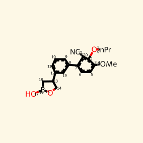 CCCOc1c(OC)ccc(-c2cccc(C3COB(O)C3)c2)c1C#N